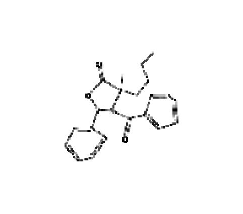 CCCCC1(C)C(=O)OC(c2ccccc2)N1C(=O)c1ccccc1